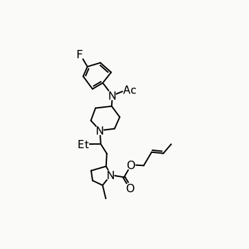 CC=CCOC(=O)N1C(C)CCC1CC(CC)N1CCC(N(C(C)=O)c2ccc(F)cc2)CC1